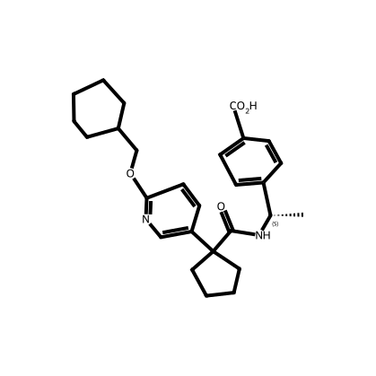 C[C@H](NC(=O)C1(c2ccc(OCC3CCCCC3)nc2)CCCC1)c1ccc(C(=O)O)cc1